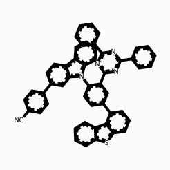 N#Cc1ccc(-c2ccc3c4ccccc4n(-c4ccc(-c5cccc6sc7ccccc7c56)cc4-c4nc(-c5ccccc5)nc(-c5ccccc5)n4)c3c2)cc1